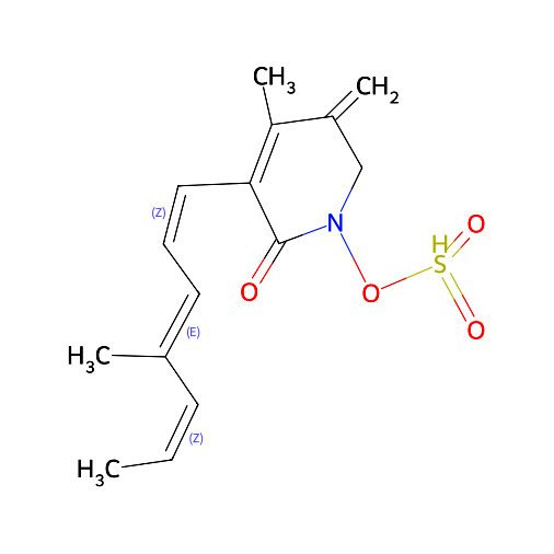 C=C1CN(O[SH](=O)=O)C(=O)C(\C=C/C=C(C)/C=C\C)=C1C